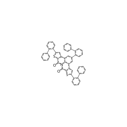 O=c1c2sc(-c3ccccc3-c3ccccc3)cc2c2cc(-c3ccccc3-c3ccccc3)cc3c4cc(-c5ccccc5-c5ccccc5)sc4c(=O)n1c23